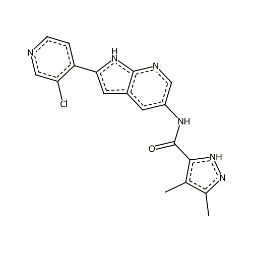 Cc1n[nH]c(C(=O)Nc2cnc3[nH]c(-c4ccncc4Cl)cc3c2)c1C